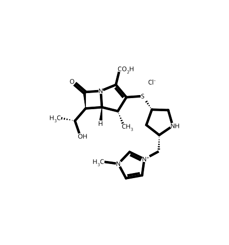 C[C@@H](O)[C@H]1C(=O)N2C(C(=O)O)=C(S[C@@H]3CN[C@H](C[n+]4ccn(C)c4)C3)[C@H](C)[C@H]12.[Cl-]